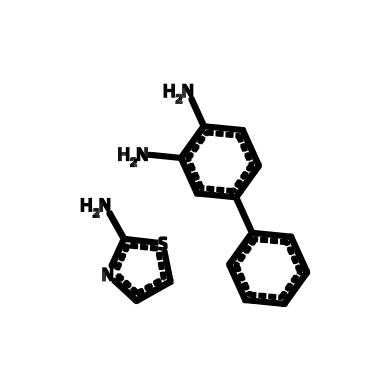 Nc1ccc(-c2ccccc2)cc1N.Nc1nccs1